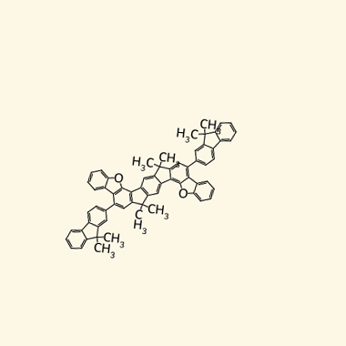 CC1(C)c2ccccc2-c2ccc(-c3cc4c(c5oc6ccccc6c35)-c3cc5c(cc3C4(C)C)-c3c(cc(-c4ccc6c(c4)C(C)(C)c4ccccc4-6)c4c3oc3ccccc34)C5(C)C)cc21